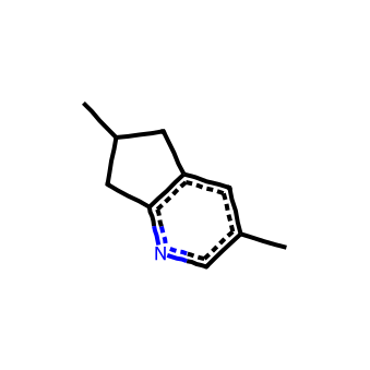 Cc1cnc2c(c1)CC(C)C2